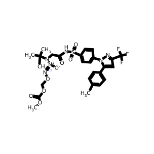 COC(=O)OCO/N=[N+](\[O-])N(CC(=O)NS(=O)(=O)c1ccc(-n2nc(C(F)(F)F)cc2-c2ccc(C)cc2)cc1)C(C)(C)C